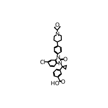 O=C(O)c1cccc(C2(n3c(=O)n(-c4ccc(C5CCN(C6COC6)CC5)cc4)c4cc(Cl)ccc43)CC2)c1